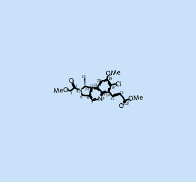 COCC(=O)N1Cc2cnc3c(/C=C/C(=O)OC)c(Cl)c(OC)cc3c2[C@@H]1C